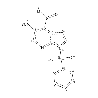 CCC(=O)c1c([N+](=O)[O-])cnc2c1ccn2S(=O)(=O)c1ccccc1